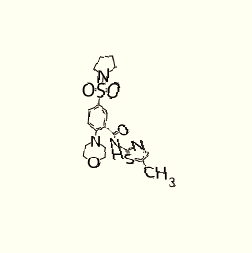 Cc1cnc(NC(=O)c2cc(S(=O)(=O)N3CCCC3)ccc2N2CCOCC2)s1